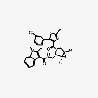 Cc1nc(C(=O)N2C[C@@H]3C[C@@H]3[C@H]2CNC(=O)c2c(C)n(C)c3ccccc23)c(-c2cccc(Cl)c2)s1